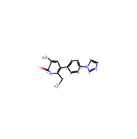 CCc1[nH]c(=O)c(C)cc1-c1ccc(-n2ccnc2)cc1